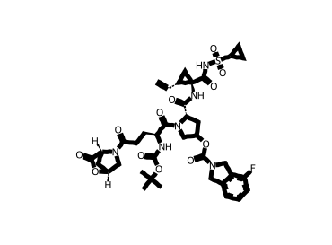 C=C[C@@H]1C[C@]1(NC(=O)[C@@H]1CC(OC(=O)N2Cc3cccc(F)c3C2)CN1C(=O)[C@H](CCC(=O)N1C[C@@H]2C[C@H]1C(=O)O2)NC(=O)OC(C)(C)C)C(=O)NS(=O)(=O)C1CC1